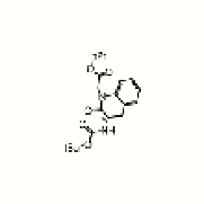 CCCOC(=O)CN1C(=O)[C@@H](NC(=O)OC(C)(C)C)Cc2ccccc21